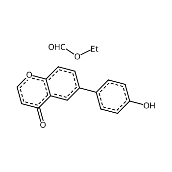 CCOC=O.O=c1ccoc2ccc(-c3ccc(O)cc3)cc12